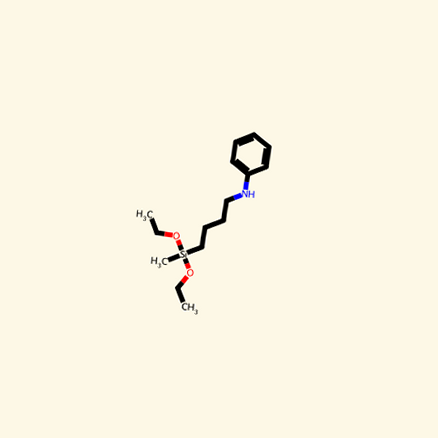 CCO[Si](C)(CCCCNc1ccccc1)OCC